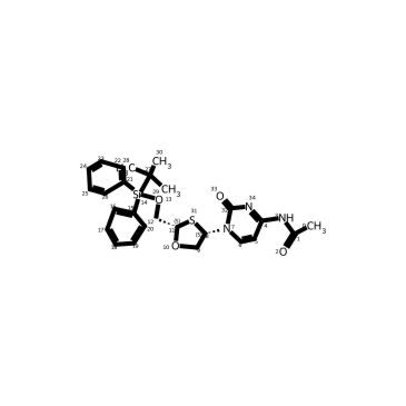 CC(=O)Nc1ccn([C@@H]2CO[C@H](CO[Si](c3ccccc3)(c3ccccc3)C(C)(C)C)S2)c(=O)n1